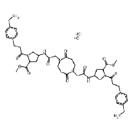 COC(=O)C1CC(NC(=O)CN2CCC(=O)N(CC(=O)NC3CC(C(=O)OC)N(C(=O)CCc4ccc(CN)cc4)C3)CCC2=O)CN1C(=O)CCc1ccc(CN)cc1.Cl.Cl